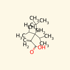 C=C(C(=O)O)C([SiH2]C(C)(C)C)(C(C)C)C(C)C